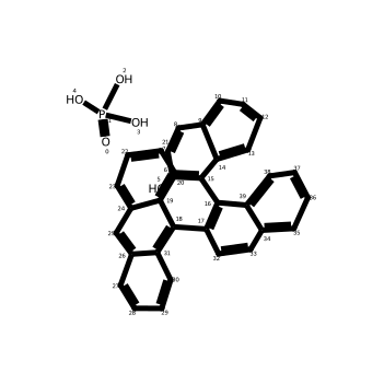 O=P(O)(O)O.Oc1ccc2ccccc2c1-c1c(-c2c3ccccc3cc3ccccc23)ccc2ccccc12